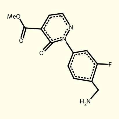 COC(=O)c1ccnn(-c2ccc(CN)c(F)c2)c1=O